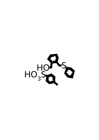 Cc1ccc(S(=O)(=O)O)cc1.OCc1ccccc1CSc1ccccc1